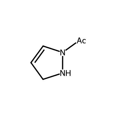 CC(=O)N1C=CCN1